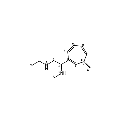 CCNCC(NC)C1=C[C@H](C)C=CC=C1